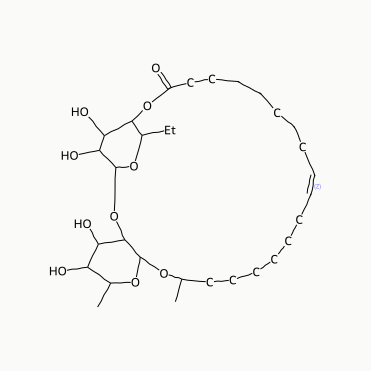 CCC1OC2OC3C(OC(C)CCCCCC/C=C\CCCCCCCC(=O)OC1C(O)C2O)OC(C)C(O)C3O